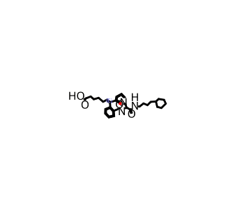 O=C(O)CCCC/C=C(/c1cccnc1)c1ccccc1C1=NC(C(=O)NCCCCC2CCCCC2)CO1